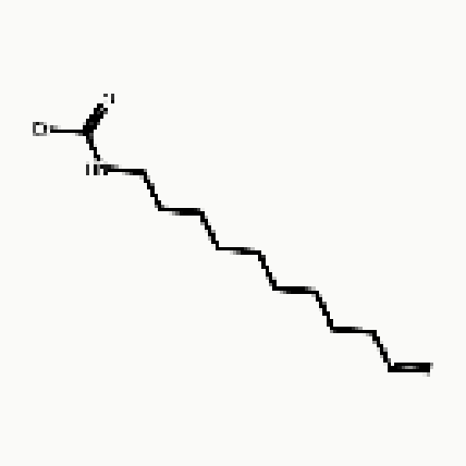 C=CCCCCCCCCCNC(=O)CC